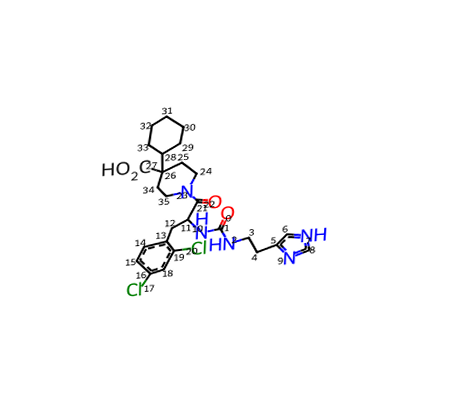 O=C(NCCc1c[nH]cn1)NC(Cc1ccc(Cl)cc1Cl)C(=O)N1CCC(C(=O)O)(C2CCCCC2)CC1